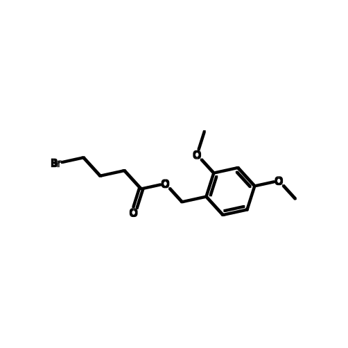 COc1ccc(COC(=O)CCCBr)c(OC)c1